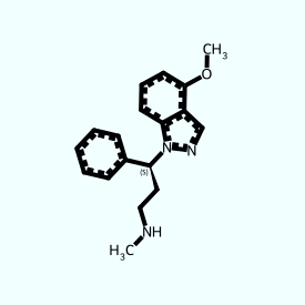 CNCC[C@@H](c1ccccc1)n1ncc2c(OC)cccc21